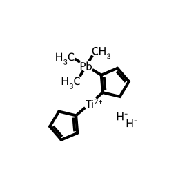 [CH3][Pb]([CH3])([CH3])[C]1=[C]([Ti+2][C]2=CC=CC2)CC=C1.[H-].[H-]